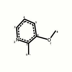 [CH2]c1ncccc1OC